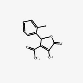 CC(=O)C1=C(O)C(=O)OC1c1ccccc1F